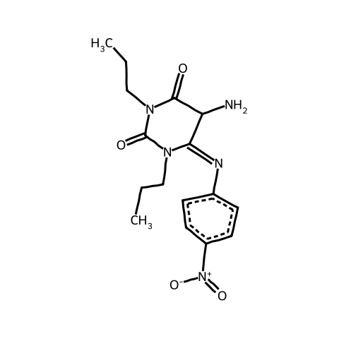 CCCN1C(=O)C(N)C(=Nc2ccc([N+](=O)[O-])cc2)N(CCC)C1=O